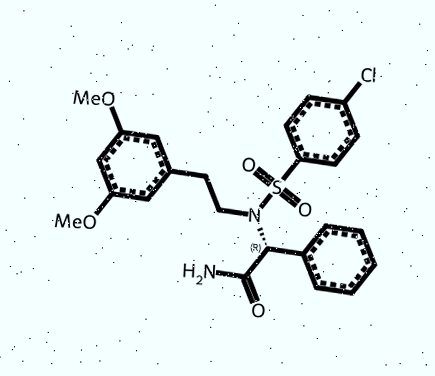 COc1cc(CCN([C@@H](C(N)=O)c2ccccc2)S(=O)(=O)c2ccc(Cl)cc2)cc(OC)c1